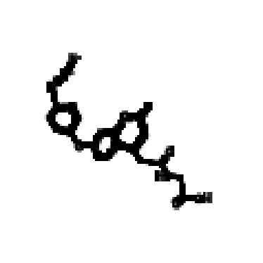 [N-]=[N+]=Nc1ccc(Oc2ccc3c(CC(=O)NCC(=O)O)cc(=O)oc3c2)cc1